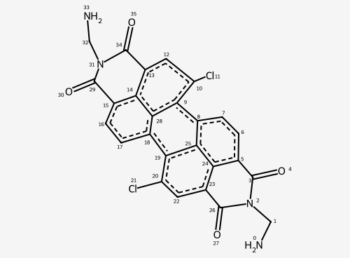 NCN1C(=O)c2ccc3c4c(Cl)cc5c6c(ccc(c7c(Cl)cc(c2c37)C1=O)c64)C(=O)N(CN)C5=O